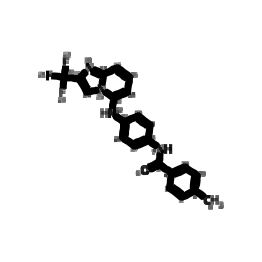 Cc1ccc(C(=O)Nc2ccc(Nc3cccc4nc(C(F)(F)F)cn34)cc2)cc1